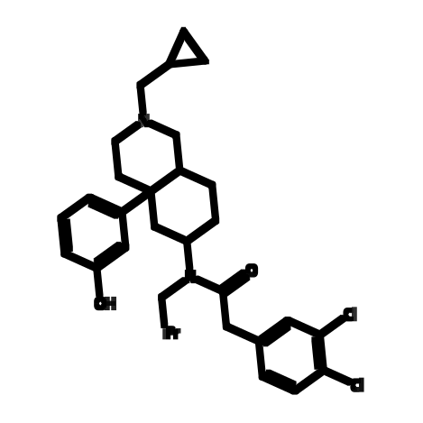 CC(C)CN(C(=O)Cc1ccc(Cl)c(Cl)c1)C1CCC2CN(CC3CC3)CCC2(c2cccc(O)c2)C1